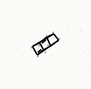 C12=C3C4C1=C1C2C3C14